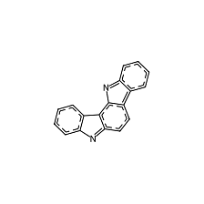 c1ccc2c(c1)N=c1ccc3c(c1-2)N=c1ccccc1=3